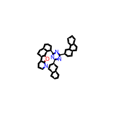 c1ccc2cc(-c3nc(-c4ccc5ccc6ccccc6c5c4)nc(-c4cccc5ccc6c7cccnc7oc6c45)n3)ccc2c1